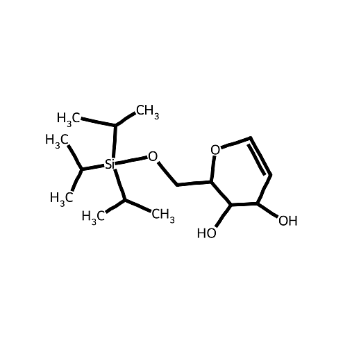 CC(C)[Si](OCC1OC=CC(O)C1O)(C(C)C)C(C)C